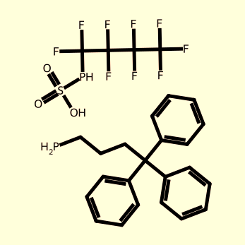 O=S(=O)(O)PC(F)(F)C(F)(F)C(F)(F)C(F)(F)F.PCCCC(c1ccccc1)(c1ccccc1)c1ccccc1